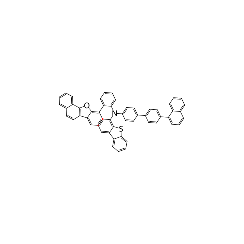 c1ccc(N(c2ccc(-c3ccc(-c4cccc5ccccc45)cc3)cc2)c2cccc3c2sc2ccccc23)c(-c2cccc3c2oc2c4ccccc4ccc32)c1